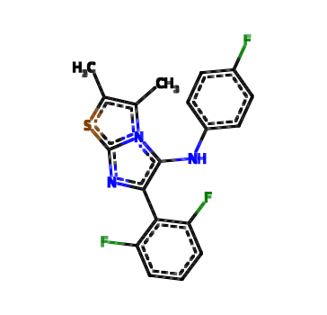 Cc1sc2nc(-c3c(F)cccc3F)c(Nc3ccc(F)cc3)n2c1C